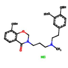 COc1ccc(CCN(C)CCCN2COc3c(OC)cccc3C2=O)cc1OC.Cl